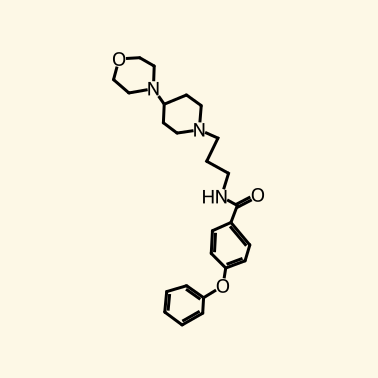 O=C(NCCCN1CCC(N2CCOCC2)CC1)c1ccc(Oc2ccccc2)cc1